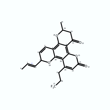 C/C=C/C1C=Cc2c3c(c4oc(=O)cc(CCC(F)(F)F)c4c2O1)C(=O)CC(C)O3